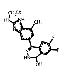 CCOC(=O)Nc1nc2cc(C3=NNC(O)c4cc(F)c(F)cc43)cc(C)c2[nH]1